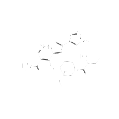 CCC(O)C(=O)N1CC[C@@H](Nc2c(C(N)=O)cnn3cc(-c4cnn(C)c4)cc23)[C@H](CC)C1